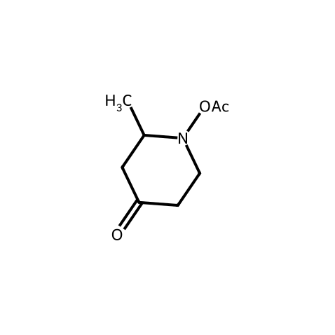 CC(=O)ON1CCC(=O)CC1C